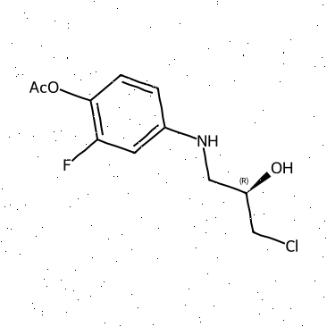 CC(=O)Oc1ccc(NC[C@@H](O)CCl)cc1F